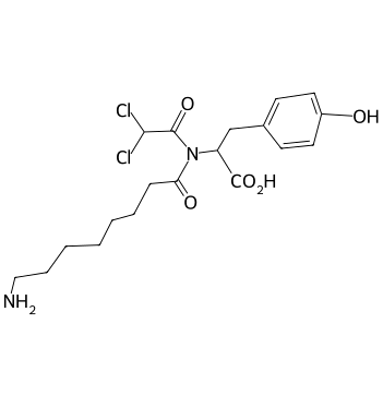 NCCCCCCCC(=O)N(C(=O)C(Cl)Cl)C(Cc1ccc(O)cc1)C(=O)O